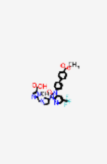 COC(=O)c1ccc(-c2ccc(-n3c(=O)n(C4CCN(Cc5ncc(C(=O)O)n5C)C4)c4ncc(C(F)(F)F)cc43)cc2)cc1